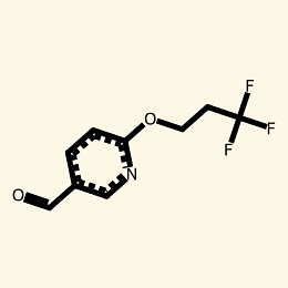 O=Cc1ccc(OCCC(F)(F)F)nc1